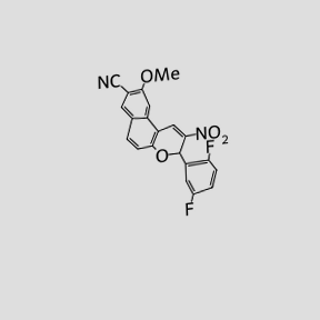 COc1cc2c3c(ccc2cc1C#N)OC(c1cc(F)ccc1F)C([N+](=O)[O-])=C3